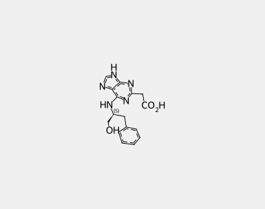 O=C(O)Cc1nc(N[C@H](CO)Cc2ccccc2)c2nc[nH]c2n1